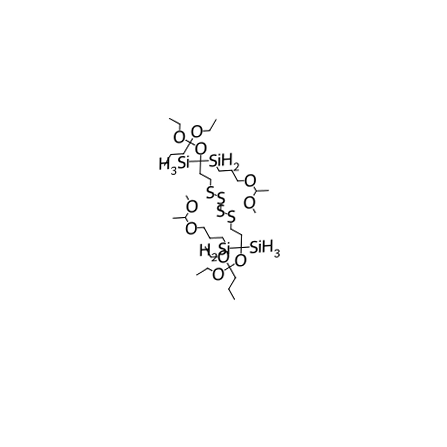 CCCC(OCC)(OCC)OC([SiH3])(CCSSSSCCC([SiH3])(OC(CCC)(OCC)OCC)[SiH2]CCCOC(C)OC)[SiH2]CCCOC(C)OC